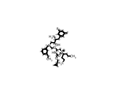 CCCC(CCC)S(=O)(=O)C[C@@H](NC(=O)OCC1CC1)OCN(Cc1cccc(CC)c1)C[C@@H](O)[C@@H](N)Cc1cc(F)cc(F)c1